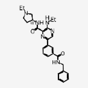 CCNc1ncc(-c2cccc(C(=O)NCc3ccccc3)c2)nc1C(=O)N[C@H]1CCN(CC)C1